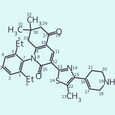 CCc1cccc(CC)c1-n1c2c(cc(-c3nc(C4=CCNCC4)c(C)s3)c1=O)C(=O)CC(C)(C)C2